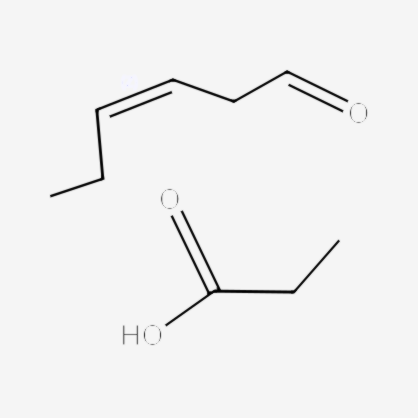 CC/C=C\CC=O.CCC(=O)O